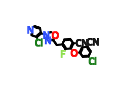 N#Cc1cc(Cl)cc(Oc2c(C#N)ccc(CC3=NN(c4ccncc4Cl)CO3)c2F)c1